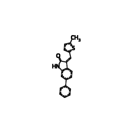 Cc1ccc(C=C2C(=O)Nc3cc(-c4ccccc4)ccc32)s1